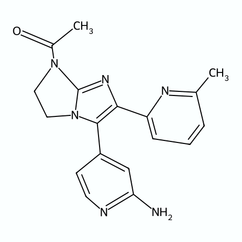 CC(=O)N1CCn2c1nc(-c1cccc(C)n1)c2-c1ccnc(N)c1